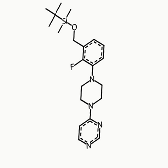 CC(C)(C)[Si](C)(C)OCc1cccc(N2CCN(c3ccncn3)CC2)c1F